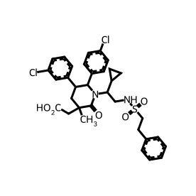 CC1(CC(=O)O)CC(c2cccc(Cl)c2)C(c2ccc(Cl)cc2)N(C(CNS(=O)(=O)CCc2ccccc2)C2CC2)C1=O